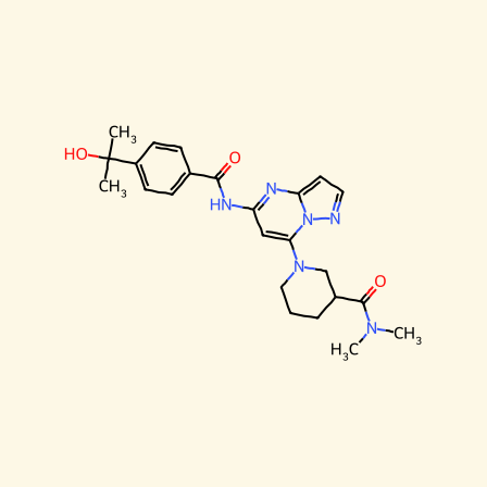 CN(C)C(=O)C1CCCN(c2cc(NC(=O)c3ccc(C(C)(C)O)cc3)nc3ccnn23)C1